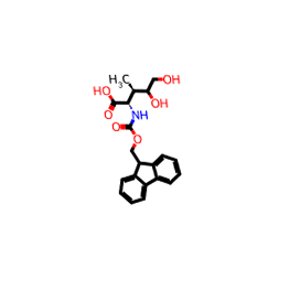 C[C@@H](C(O)CO)[C@H](NC(=O)OCC1c2ccccc2-c2ccccc21)C(=O)O